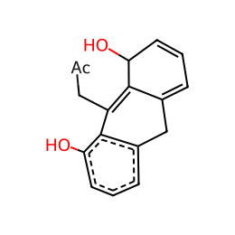 CC(=O)CC1=C2C(=CC=CC2O)Cc2cccc(O)c21